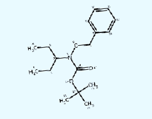 CCC(CC)N(OCc1ccccc1)C(=O)OC(C)(C)C